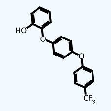 Oc1ccccc1Oc1ccc(Oc2ccc(C(F)(F)F)cc2)cc1